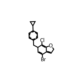 ClC1=C2OCC=C2C(Br)=CC1Cc1ccc(C2CC2)cc1